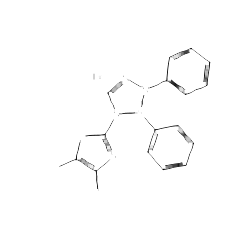 Br.Cc1nc(N2C=NN(c3ccccc3)N2c2ccccc2)sc1C